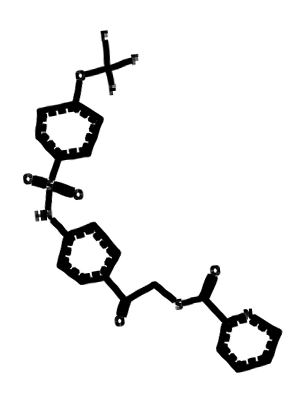 O=C(CSC(=O)c1ccccn1)c1ccc(NS(=O)(=O)c2ccc(OC(F)(F)F)cc2)cc1